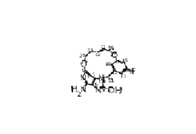 Nc1nc2cc3c1nc(O)n3Cc1cc(F)cc(c1)OC/C=C/CCO2